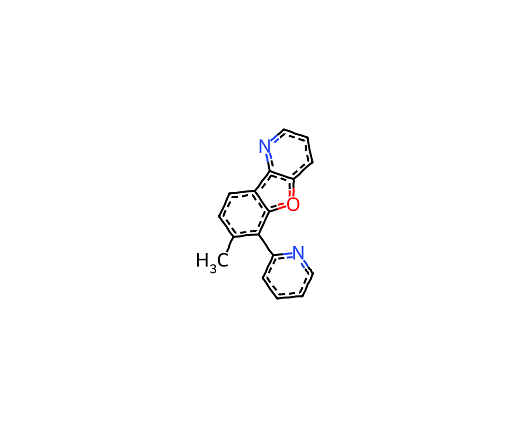 Cc1ccc2c(oc3cccnc32)c1-c1ccccn1